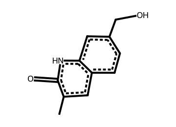 Cc1cc2ccc(CO)cc2[nH]c1=O